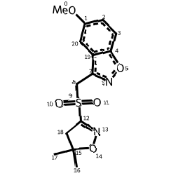 COc1ccc2onc(CS(=O)(=O)C3=NOC(C)(C)C3)c2c1